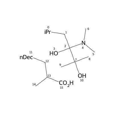 CC(C)CC(O)(N(C)C)C(C)(C)O.CCCCCCCCCCCC(C)C(=O)O